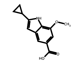 COc1cc(C(=O)O)cc2cc(C3CC3)[nH]c12